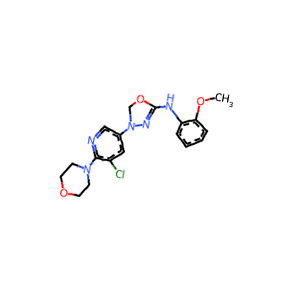 COc1ccccc1NC1=NN(c2cnc(N3CCOCC3)c(Cl)c2)CO1